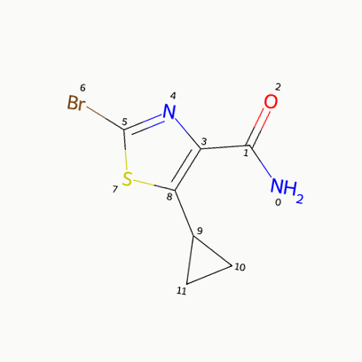 NC(=O)c1nc(Br)sc1C1CC1